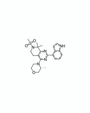 C[C@@H]1COCCN1c1nc(-c2cccc3[nH]ccc23)nc2c1CCN(S(C)(=O)=O)C2(C)C